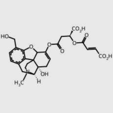 CN1CCC23c4c5ccc(CO)c4OC2C(OC(=O)C[C@H](OC(=O)/C=C/C(=O)O)C(=O)O)=CC[C@@]3(O)[C@H]1C5